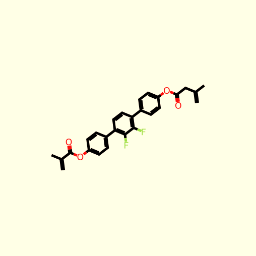 C=C(C)CC(=O)Oc1ccc(-c2ccc(-c3ccc(OC(=O)C(=C)C)cc3)c(F)c2F)cc1